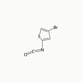 O=C=Nc1cc(Br)cs1